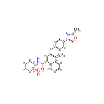 Cc1nc(-c2ccc(Cc3cc(C(=O)N[C@H]4CCCC[C@@H]4O)c4ncccc4c3C)cc2)co1